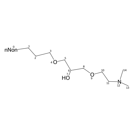 CCCCCCCCCCCCOCC(O)COCCN(C)C